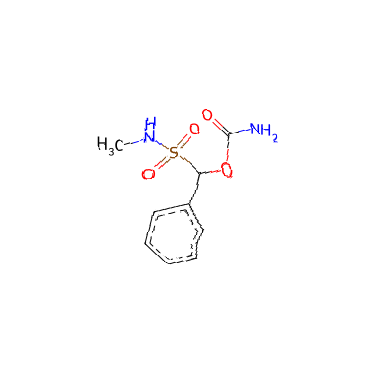 CNS(=O)(=O)C(OC(N)=O)c1ccccc1